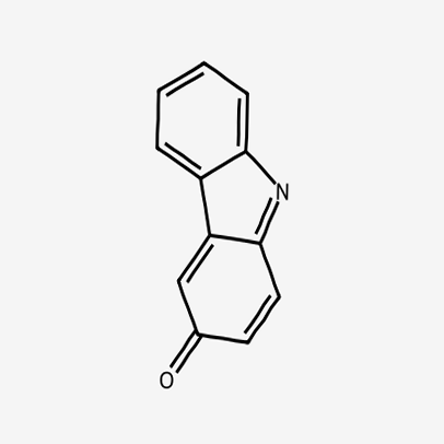 O=C1C=CC2=Nc3ccccc3C2=C1